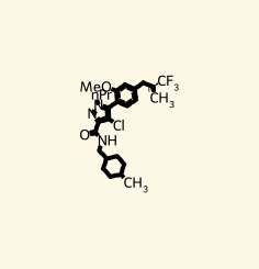 CCCn1nc(C(=O)NCC2CCC(C)CC2)c(Cl)c1-c1ccc(C[C@@H](C)C(F)(F)F)cc1OC